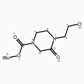 CC(C)(C)OC(=O)N1CCN(CCCl)C(=O)C1